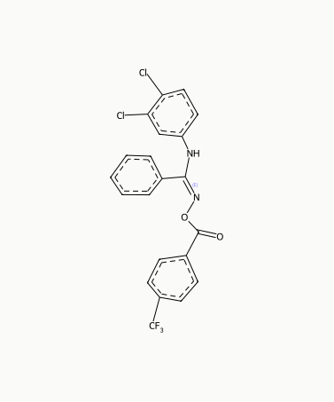 O=C(O/N=C(/Nc1ccc(Cl)c(Cl)c1)c1ccccc1)c1ccc(C(F)(F)F)cc1